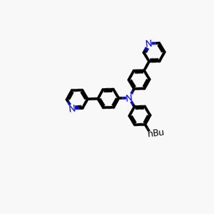 CCCCc1ccc(N(c2ccc(-c3cccnc3)cc2)c2ccc(-c3cccnc3)cc2)cc1